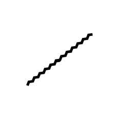 CCCCCCCCCCCC=CCCCCCCCCCCCC